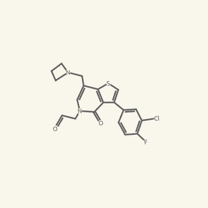 O=CCn1cc(CN2CCC2)c2scc(-c3ccc(F)c(Cl)c3)c2c1=O